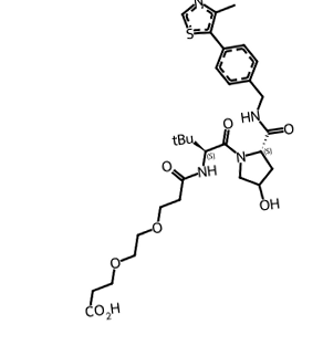 Cc1ncsc1-c1ccc(CNC(=O)[C@@H]2CC(O)CN2C(=O)[C@@H](NC(=O)CCOCCOCCC(=O)O)C(C)(C)C)cc1